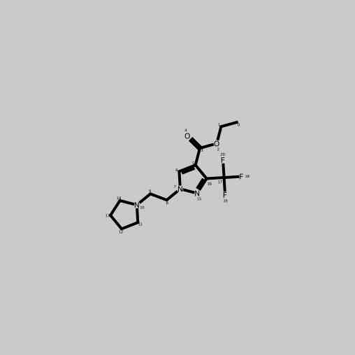 CCOC(=O)c1cn(CCN2CCCC2)nc1C(F)(F)F